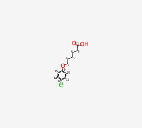 O=C(O)CCCCCOc1ccc(Cl)cc1